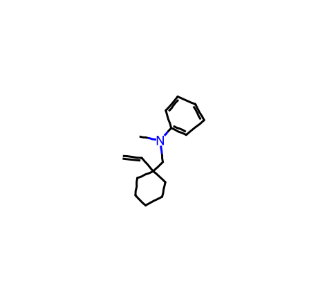 C=CC1(CN(C)c2ccccc2)CCCCC1